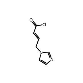 O=C(Cl)C=CCn1ccnc1